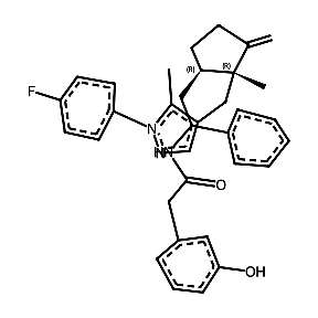 C=C1CC[C@H](CC(NC(=O)Cc2cccc(O)c2)c2ccccc2)[C@@]1(C)Cc1cnn(-c2ccc(F)cc2)c1C